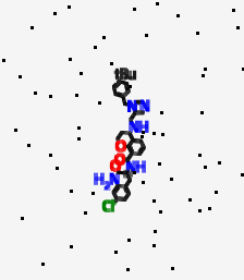 CC(C)(C)c1ccc(Cn2cncc2CNC2CCOc3c(C(=O)N[C@@H](Cc4ccc(Cl)cc4)C(N)=O)cccc32)cc1